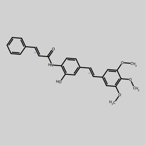 COc1cc(/C=C/c2ccc(NC(=O)/C=C/c3ccccc3)c(O)c2)cc(OC)c1OC